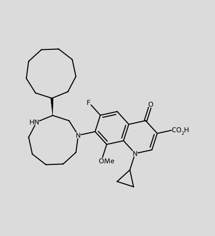 COc1c(N2CCCCCN[C@@H](C3CCCCCCCC3)C2)c(F)cc2c(=O)c(C(=O)O)cn(C3CC3)c12